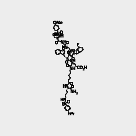 CCCc1ccc(S(=O)(=O)NCCCC[C@H](NC(=O)CCCCCNC(=O)[C@H](CCC(=O)O)NC(=O)[C@H](Cc2c[nH]c3ccccc23)NC(=O)[C@H](Cc2cccc(F)c2)NC(=O)CNC(=O)CNC(=O)[C@@H](CC(=O)O)NS(=O)(=O)c2ccc(OC)cc2)C(N)=O)cc1